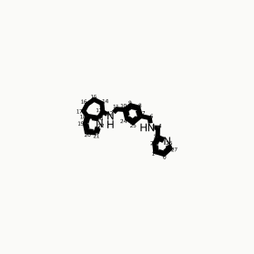 c1ccc(CNCc2ccc(CNC3CCCCc4cccnc43)cc2)nc1